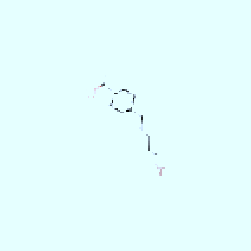 CC(=O)c1ccc(CCCCCBr)cc1